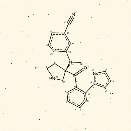 C[C@@H]1C[C@@](C(=O)c2ccccc2-n2nccn2)(N(C)c2cc(C#N)ccn2)CN1